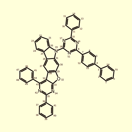 c1ccc(-c2ccc(-c3nc(-c4ccccc4)nc(-n4c5ccccc5c5cc6c(cc54)oc4nc(-c5ccccc5)nc(-c5ccccc5)c46)n3)cc2)cc1